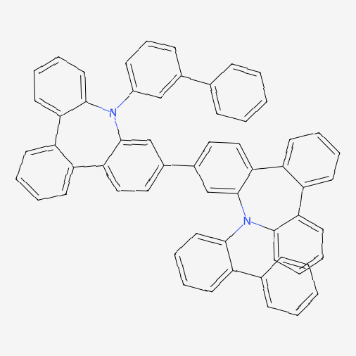 c1ccc(-c2cccc(N3c4ccccc4-c4ccccc4-c4ccc(-c5ccc6c(c5)N(c5ccccc5-c5ccccc5)c5ccccc5-c5ccccc5-6)cc43)c2)cc1